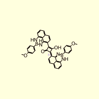 COc1ccc(B2N=c3/c(=C4/C(=O)C(c5ccc6cccc7c6c5NB(c5ccc(OC)cc5)N7)=C4O)ccc4cccc(c34)N2)cc1